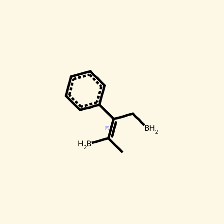 BC/C(=C(/B)C)c1ccccc1